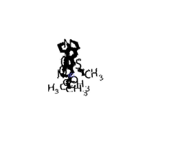 CCCCSc1c(/C=C(\C#N)C(=O)OC(C)(C)C)c(=O)oc2c3c4c(cc12)CCCN4CCC3